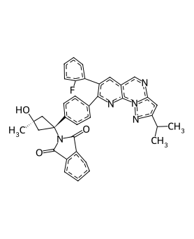 CC(C)c1cc2ncc3cc(-c4ccccc4F)c(-c4ccc([C@]5(N6C(=O)c7ccccc7C6=O)C[C@](C)(O)C5)cc4)nc3n2n1